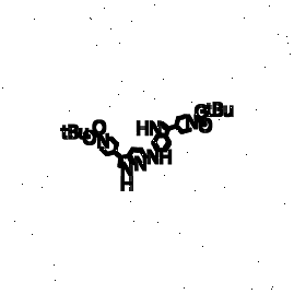 CC(C)(C)OC(=O)N1CCC(c2c[nH]c3cc(Nc4ccc5c(C6CCN(C(=O)OC(C)(C)C)CC6)c[nH]c5n4)ccc23)CC1